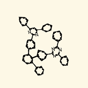 c1ccc(-c2cc(-c3ccccc3)nc(-c3ccc(-c4cccc(-c5ccccc5)c4-c4ccc(-c5nc(-c6ccccc6)nc(-c6ccccc6)n5)cc4)cc3)n2)cc1